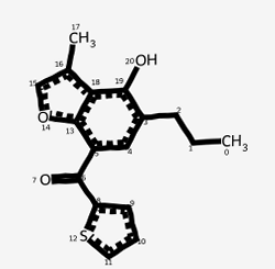 CCCc1cc(C(=O)c2cccs2)c2occ(C)c2c1O